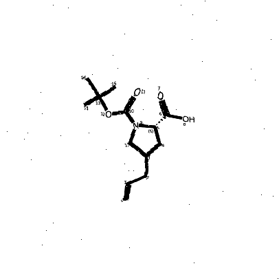 C=CCC1C[C@@H](C(=O)O)N(C(=O)OC(C)(C)C)C1